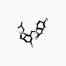 CC(C)Cn1ncc2cc(Cl)cc(CN3C(=O)Cc4cc(Br)ccc43)c21